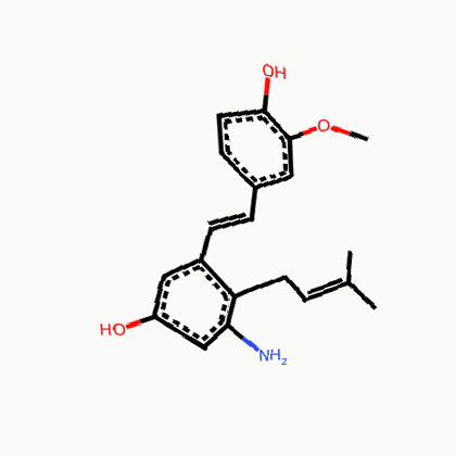 COc1cc(C=Cc2cc(O)cc(N)c2CC=C(C)C)ccc1O